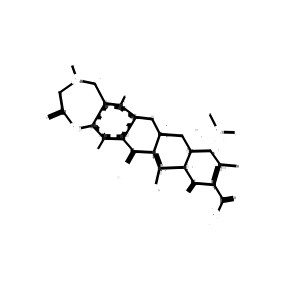 CN1CC(=O)Nc2c(O)c3c(c(F)c2C1)C[C@H]1C[C@@H]2C(C(=O)C(C(N)=O)=C(O)[C@H]2N(C)C)C(O)=C1C3=O